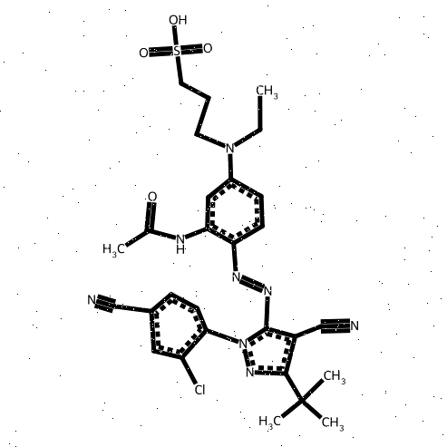 CCN(CCCS(=O)(=O)O)c1ccc(/N=N/c2c(C#N)c(C(C)(C)C)nn2-c2ccc(C#N)cc2Cl)c(NC(C)=O)c1